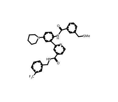 CSCc1cccc(C(=O)Nc2ccc(N3CCCCC3)cc2-c2cc(C(=O)NCc3cccc(C(F)(F)F)c3)ccn2)c1